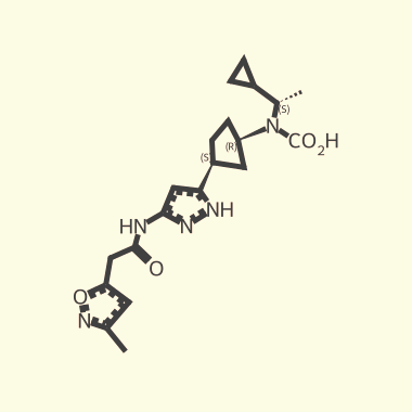 Cc1cc(CC(=O)Nc2cc([C@H]3CC[C@@H](N(C(=O)O)[C@@H](C)C4CC4)C3)[nH]n2)on1